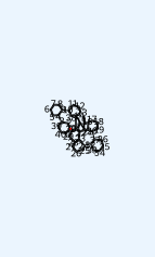 c1ccc(-c2ccccc2-c2cccc(-n3c4cccc5c4c4c6c(cccc6ccc43)-c3ccccc3-5)c2)cc1